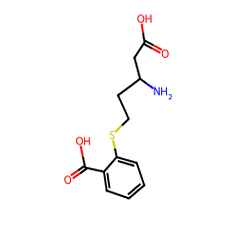 NC(CCSc1ccccc1C(=O)O)CC(=O)O